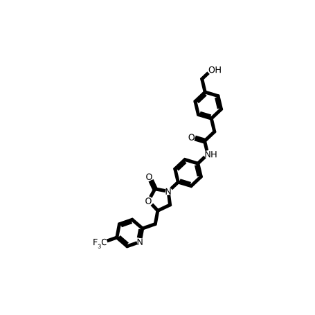 O=C(Cc1ccc(CO)cc1)Nc1ccc(N2CC(Cc3ccc(C(F)(F)F)cn3)OC2=O)cc1